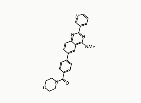 CNc1nc(-c2cccnc2)nc2ccc(-c3ccc(C(=O)N4CCOCC4)cc3)cc12